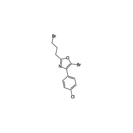 Clc1ccc(-c2nc(CCCBr)oc2Br)cc1